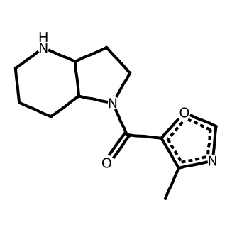 Cc1ncoc1C(=O)N1CCC2NCCCC21